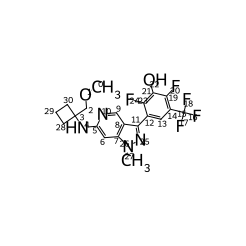 COCC1(Nc2cc3c(cn2)c(-c2cc(C(F)(F)F)c(F)c(O)c2F)nn3C)CCC1